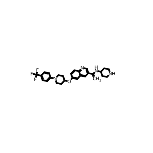 C=C(NC1CCNCC1)c1cnc2ccc(OC3CCN(c4ccc(C(F)(F)F)cc4)CC3)cc2c1